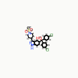 O=S(=O)(N1CCC(c2n[nH]c3ccc(C(O)(c4ccc(Cl)cc4)c4ccc(Cl)cc4)cc23)CC1)C(F)(F)F